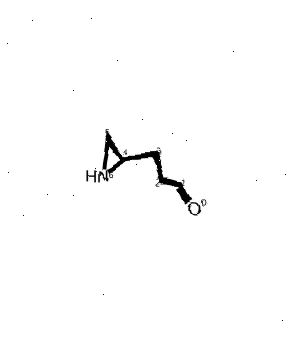 O=CCCC1CN1